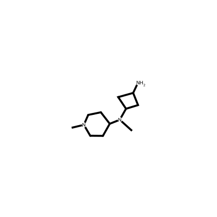 CN1CCC(N(C)C2CC(N)C2)CC1